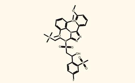 COc1cccc(-c2nnc(N(CC[Si](C)(C)C)S(=O)(=O)CC(O)c3ccc(F)cc3S(C)(=O)=O)n2-c2c(OC)cccc2OC)n1